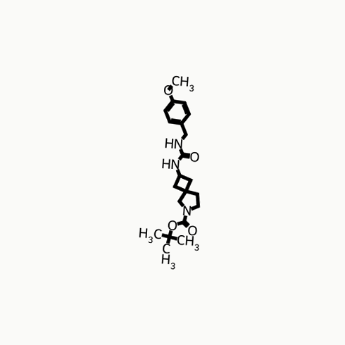 COc1ccc(CNC(=O)NC2CC3(CCN(C(=O)OC(C)(C)C)C3)C2)cc1